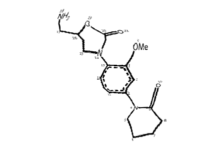 COc1cc(N2CCCCC2=O)ccc1N1CC(CN)OC1=O